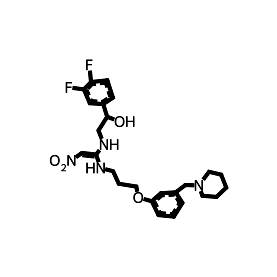 O=[N+]([O-])/C=C(\NCCCOc1cccc(CN2CCCCC2)c1)NCC(O)c1ccc(F)c(F)c1